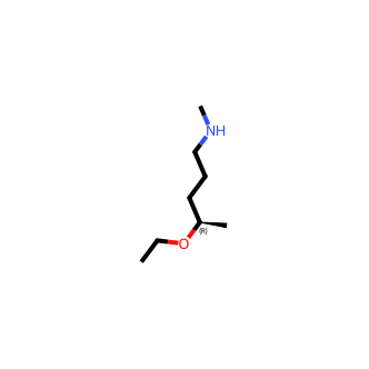 CCO[C@H](C)CCCNC